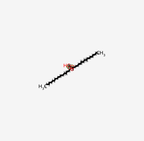 CCCCCCCCCCCCCCCCCCOCCCCCCCCCCCCCCCCCC.[O-][Cl+2]([O-])O